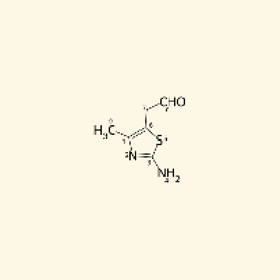 Cc1nc(N)sc1CC=O